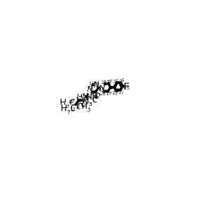 COc1c(NNC(=O)CC(C)(C)C)ncnc1N1CCC(c2ccc(F)cc2)CC1